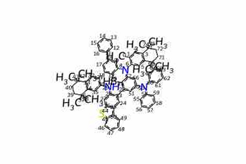 Cc1cc2c(cc1N1c3cc(-c4ccccc4)ccc3Bc3c(-c4cc5c(cc4Nc4ccc6c(c4)C(C)(C)CCC6(C)C)sc4ccccc45)cc(N(c4ccccc4)c4ccccc4)cc31)C(C)(C)CCC2(C)C